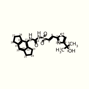 CC(C)(O)c1csc(/C=C/S(=O)(=O)NC(=O)Nc2c3c(cc4c2CCC4)CCC3)n1